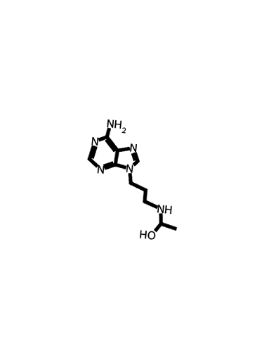 CC(O)NCCCn1cnc2c(N)ncnc21